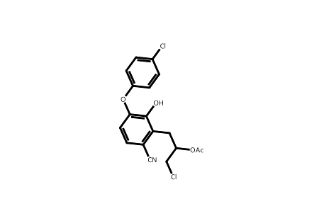 CC(=O)OC(CCl)Cc1c(C#N)ccc(Oc2ccc(Cl)cc2)c1O